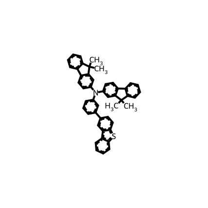 CC1(C)c2ccccc2-c2ccc(N(c3cccc(-c4ccc5sc6ccccc6c5c4)c3)c3ccc4c(c3)C(C)(C)c3ccccc3-4)cc21